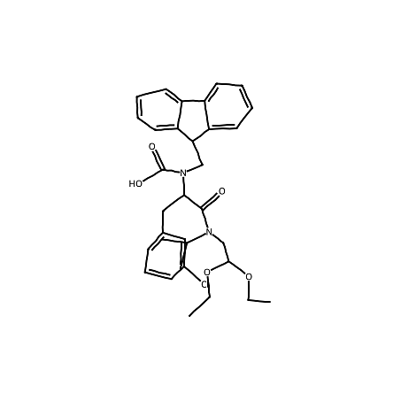 CCOC(CN(C(=O)C(Cc1cccc(Cl)c1)N(CC1c2ccccc2-c2ccccc21)C(=O)O)C(C)C)OCC